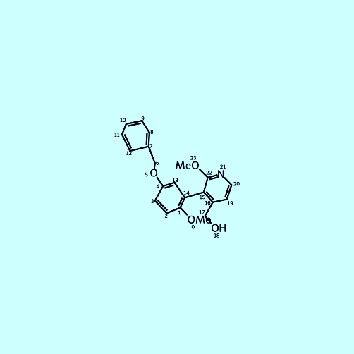 COc1ccc(OCc2ccccc2)cc1-c1c(CO)ccnc1OC